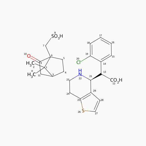 CC1(C)C2CCC1(CS(=O)(=O)O)C(=O)C2.O=C(O)C(c1ccccc1Cl)[C@@H]1NCCc2sccc21